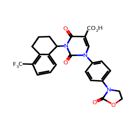 O=C(O)c1cn(-c2ccc(N3CCOC3=O)cc2)c(=O)n(C2CCCc3c2cccc3C(F)(F)F)c1=O